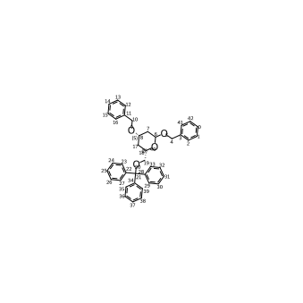 c1ccc(COC2C[C@@H](OCc3ccccc3)C[C@@H](COC(c3ccccc3)(c3ccccc3)c3ccccc3)O2)cc1